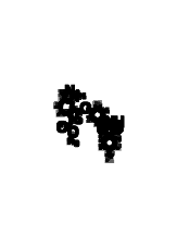 CCOC(=O)c1sc(Oc2ccc(NS(=O)(=O)c3ccc(C)cc3)cc2)c2c1CCc1cnn(C)c1-2